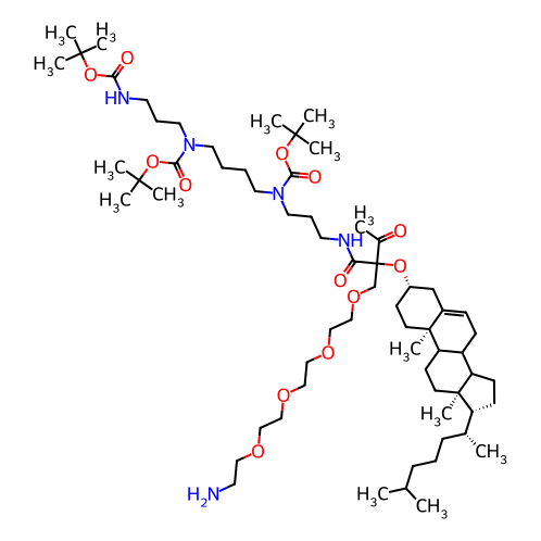 CC(=O)C(COCCOCCOCCOCCN)(O[C@H]1CC[C@@]2(C)C(=CCC3C2CC[C@@]2(C)C3CC[C@@H]2[C@H](C)CCCC(C)C)C1)C(=O)NCCCN(CCCCN(CCCNC(=O)OC(C)(C)C)C(=O)OC(C)(C)C)C(=O)OC(C)(C)C